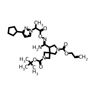 C=CCOC(=O)N1CC(/C(N)=N/OC(=O)C(C)n2ccc(C3CCCC3)n2)C2(C1)CN(C(=O)OC(C)(C)C)C2